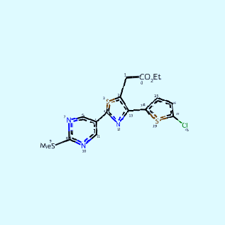 CCOC(=O)Cc1sc(-c2cnc(SC)nc2)nc1-c1ccc(Cl)s1